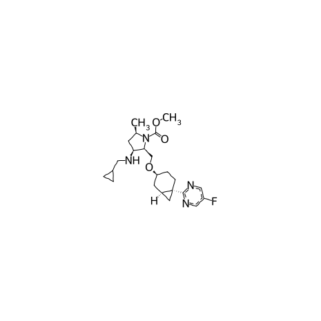 COC(=O)N1[C@H](C)C[C@H](NCC2CC2)[C@@H]1CO[C@H]1CC[C@@]2(c3ncc(F)cn3)C[C@H]2C1